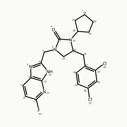 O=C1N(Cc2nc3ccc(F)nc3[nH]2)CC(Cc2ccc(Cl)cc2Cl)N1C1CCCC1